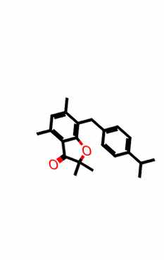 Cc1cc(C)c2c(c1Cc1ccc(C(C)C)cc1)OC(C)(C)C2=O